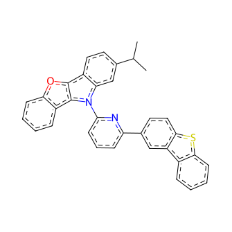 CC(C)c1ccc2c3oc4ccccc4c3n(-c3cccc(-c4ccc5sc6ccccc6c5c4)n3)c2c1